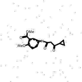 COC(=O)c1cc(NC(=O)CC(=O)C2CC2)ccc1OC